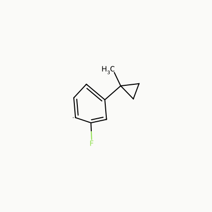 CC1(c2cc[c]c(F)c2)CC1